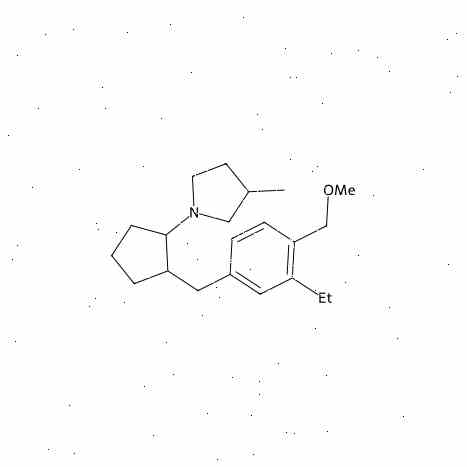 CCc1cc(CC2CCCC2N2CCC(C)C2)ccc1COC